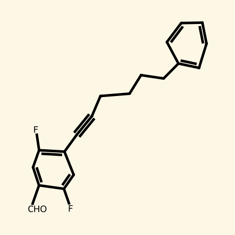 O=Cc1cc(F)c(C#CCCCCc2ccccc2)cc1F